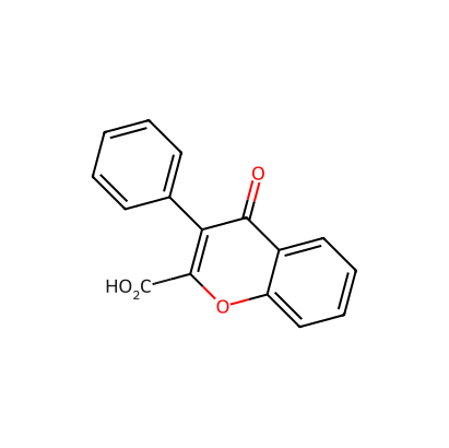 O=C(O)c1oc2ccccc2c(=O)c1-c1ccccc1